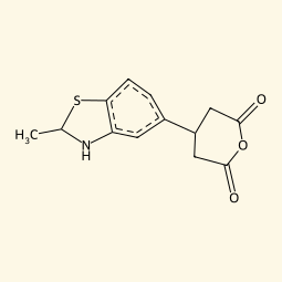 CC1Nc2cc(C3CC(=O)OC(=O)C3)ccc2S1